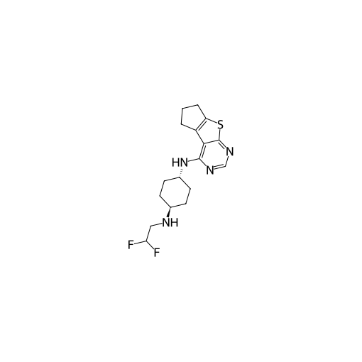 FC(F)CN[C@H]1CC[C@H](Nc2ncnc3sc4c(c23)CCC4)CC1